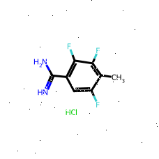 Cc1c(F)cc(C(=N)N)c(F)c1F.Cl